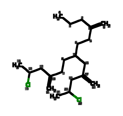 C=C(CCC)CCC(CCC(=C)CC(C)Cl)CC(=C)CC(C)Cl